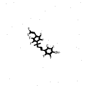 CC(C)(C)c1c(F)c(F)c(/C=C/CC(C)(C)c2c(F)c(F)c(C=C(F)F)c(F)c2F)c(F)c1F